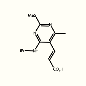 CSc1nc(C)c(C=CC(=O)O)c(NC(C)C)n1